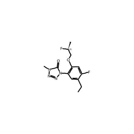 CCc1cc(-n2nnn(C)c2=O)c(OC[C@H](C)F)cc1F